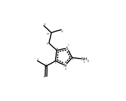 C=C(C)c1nc(N)sc1CC(C)C